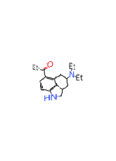 CCC(=O)c1ccc2c3c1CC(N(CC)CC)CC3CN2